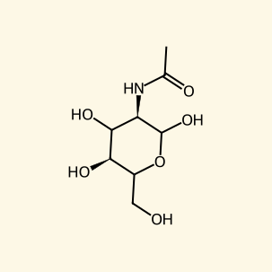 CC(=O)N[C@H]1C(O)OC(CO)[C@@H](O)C1O